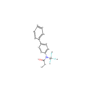 CCC(=O)N(c1ccc(-c2ccccc2)cc1)C(F)(F)F